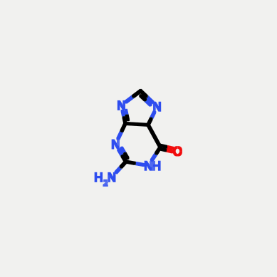 NC1=NC2=NC=NC2C(=O)N1